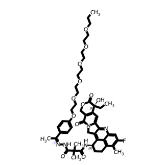 CCCOCCOCCOCCOCCOCCOc1ccc(/C(C)=N\NC(=O)C(C)(C)C(=O)N[C@@H]2CCc3c(C)c(F)cc4nc5c(c2c34)Cn2c-5cc3c(c2=O)COC(=O)[C@@]3(O)CC)cc1